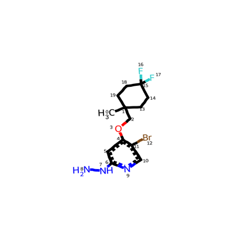 CC1(COc2cc(NN)ncc2Br)CCC(F)(F)CC1